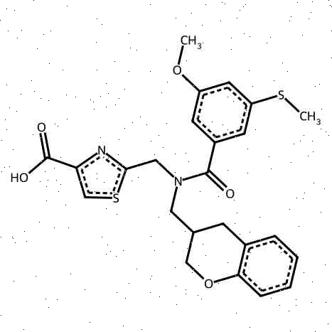 COc1cc(SC)cc(C(=O)N(Cc2nc(C(=O)O)cs2)CC2COc3ccccc3C2)c1